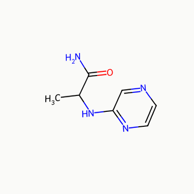 CC(Nc1cnccn1)C(N)=O